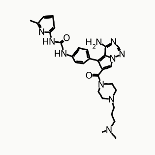 Cc1cccc(NC(=O)Nc2ccc(-c3c(C(=O)N4CCN(CCCN(C)C)CC4)cn4ncnc(N)c34)cc2)n1